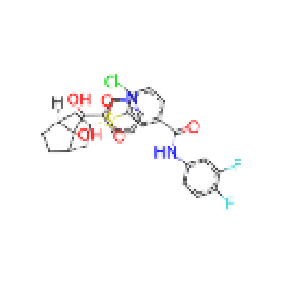 O=C(Nc1ccc(F)c(F)c1)c1ccc(Cl)c(S(=O)(=O)[C@@H]2CC3CC[C@@H](C2)[C@@]3(O)C(O)c2cccnc2)c1